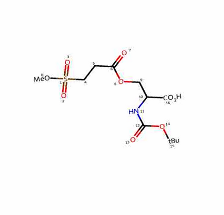 COS(=O)(=O)CCC(=O)OCC(NC(=O)OC(C)(C)C)C(=O)O